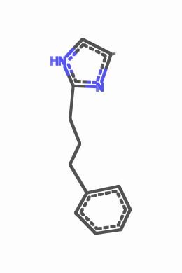 [c]1c[nH]c(CCCc2ccccc2)n1